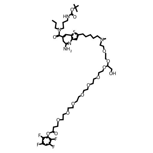 CCCN(CCCNC(=O)OC(C)(C)C)C(=O)C1=Cc2sc(CCCCCN(C)CCOCCOC(CO)OCCOCCOCCOCCOCCOCCOCCC(=O)Oc3c(F)c(F)cc(F)c3F)cc2N=C(N)C1